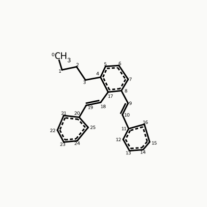 CCCCc1cccc(C=Cc2ccccc2)c1C=Cc1ccccc1